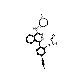 CC#Cc1ccc(-c2nnc(N[C@@H]3CCCN(C)C3)c3ccccc23)c(O)c1.O=CO